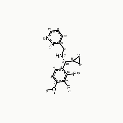 COc1ccc([C@H](NCc2cccnn2)C2CC2)c(F)c1F